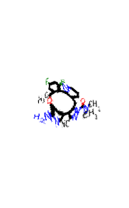 C[C@H]1Oc2cc(cnc2N)-c2c(C#N)nn(C(=O)N(C)C)c2Cc2cccnc2-c2c(F)cc(F)cc21